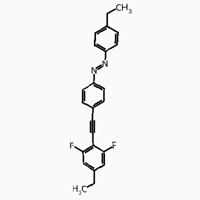 CCc1ccc(N=Nc2ccc(C#Cc3c(F)cc(CC)cc3F)cc2)cc1